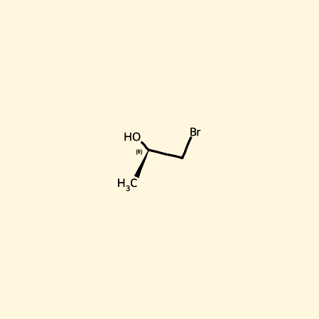 C[C@@H](O)CBr